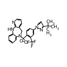 CC(C)(C)c1ccn(-c2ccc(C3(N4Cc5cccnc5Nc5ccccc54)OO3)c(C(F)(F)F)c2)n1